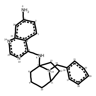 Nc1ccc2c(NC34CCCC(CC3)N4Cc3ccccc3)ncnc2c1